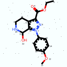 CCOC(=O)c1nn(-c2ccc(OC)cc2)c2c1CCNC2O